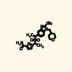 CC(n1ccc(C(N)=O)n1)S(=O)(=O)N(C)c1ccc2c(c1)nc(C(C)(C)C)n2CC1CCOCC1